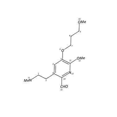 CNCCc1cc(OCCCOC)c(OC)nc1C=O